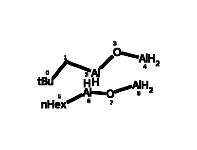 CC(C)(C)[CH2][AlH][O][AlH2].CCCCC[CH2][AlH][O][AlH2]